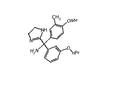 CCCOc1cccc(C(N)(C2=NCCN2)c2ccc(OC)c(C)c2)c1